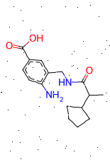 CC(C(=O)NCc1cc(C(=O)O)ccc1N)C1CCCC1